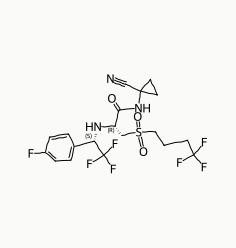 N#CC1(NC(=O)[C@H](CS(=O)(=O)CCCC(F)(F)F)N[C@@H](c2ccc(F)cc2)C(F)(F)F)CC1